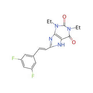 CCn1c(=O)c2[nH]c(C=Cc3cc(F)cc(F)c3)nc2n(CC)c1=O